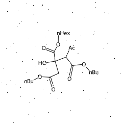 CCCCCCOC(=O)C(O)(CC(=O)OCCCC)C(C(C)=O)C(=O)OCCCC